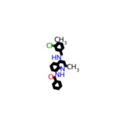 Cc1cc(NCc2ccc(C)c(Cl)c2)c2cccc(NC(=O)c3ccccc3)c2n1